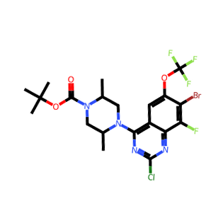 CC1CN(c2nc(Cl)nc3c(F)c(Br)c(OC(F)(F)F)cc23)C(C)CN1C(=O)OC(C)(C)C